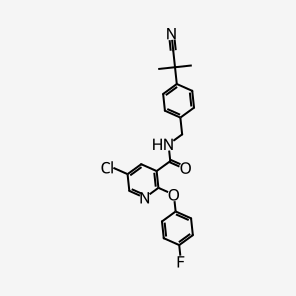 CC(C)(C#N)c1ccc(CNC(=O)c2cc(Cl)cnc2Oc2ccc(F)cc2)cc1